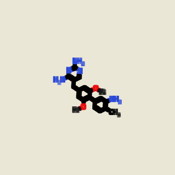 CCOc1cc(Cc2cnc(N)nc2N)cc(OCC)c1-c1ccc(C)c(N)c1